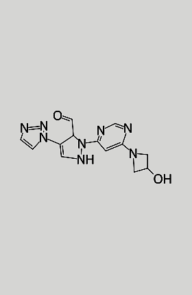 O=CC1C(n2ccnn2)=CNN1c1cc(N2CC(O)C2)ncn1